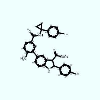 CNC(=O)C1c2cc(-c3cc(C(=O)NC4(c5ccc(F)cc5)CC4)ccc3C)ccc2OC1c1ccc(F)cc1